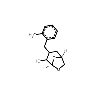 Cc1ccccc1CC1C[C@H]2CO[C@H](O2)C1O